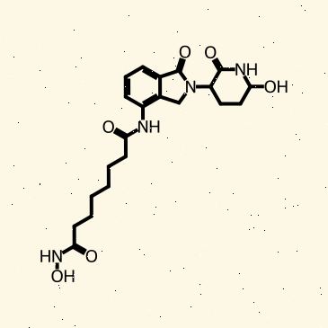 O=C(CCCCCCC(=O)Nc1cccc2c1CN(C1CCC(O)NC1=O)C2=O)NO